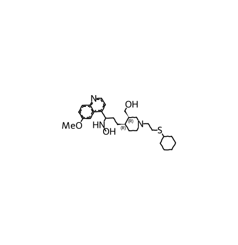 COc1ccc2nccc(C(CC[C@@H]3CCN(CCSC4CCCCC4)C[C@@H]3CO)NO)c2c1